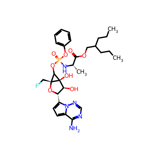 CCCC(CCC)COC(=O)[C@H](C)NP(=O)(Oc1ccccc1)OC1[C@@]2(CF)O[C@@H](c3ccc4c(N)ncnn34)[C@H](O)[C@@]12O